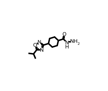 CC(C)c1nc(C2CCC(C(=O)NN)CC2)no1